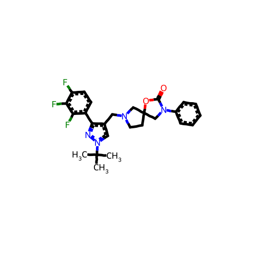 CC(C)(C)n1cc(CN2CCC3(C2)CN(c2ccccc2)C(=O)O3)c(-c2ccc(F)c(F)c2F)n1